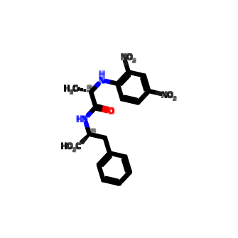 C[C@H](Nc1ccc([N+](=O)[O-])cc1[N+](=O)[O-])C(=O)N[C@@H](Cc1ccccc1)C(=O)O